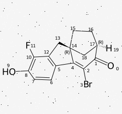 O=C1C(Br)=C2c3ccc(O)c(F)c3C[C@]23CC[C@@H]1C3